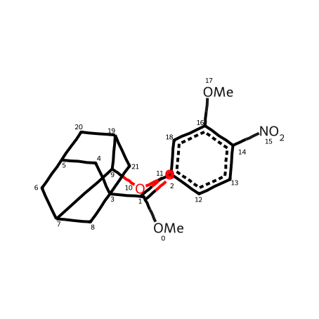 COC(=O)C12CC3CC(C1)C(Oc1ccc([N+](=O)[O-])c(OC)c1)C(C3)C2